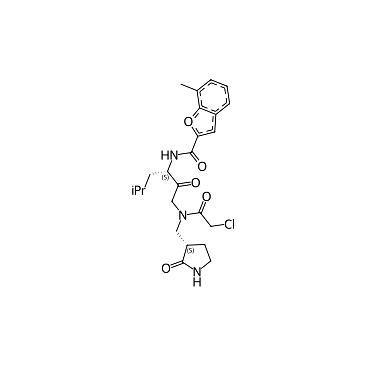 Cc1cccc2cc(C(=O)N[C@@H](CC(C)C)C(=O)CN(C[C@@H]3CCNC3=O)C(=O)CCl)oc12